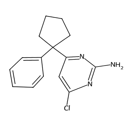 Nc1nc(Cl)cc(C2(c3ccccc3)CCCC2)n1